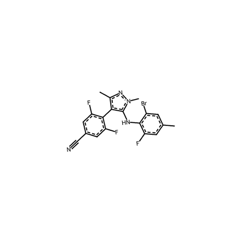 Cc1cc(F)c(Nc2c(-c3c(F)cc(C#N)cc3F)c(C)nn2C)c(Br)c1